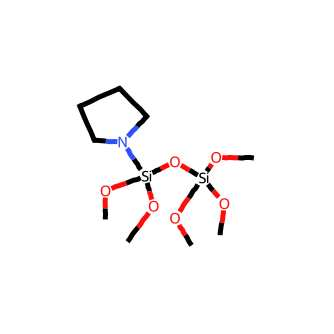 CO[Si](OC)(OC)O[Si](OC)(OC)N1CCCC1